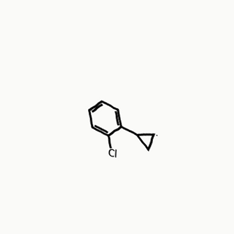 Clc1ccccc1C1[CH]C1